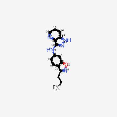 FC(F)(F)CCc1noc2cc(Nc3n[nH]c4cccnc34)ccc12